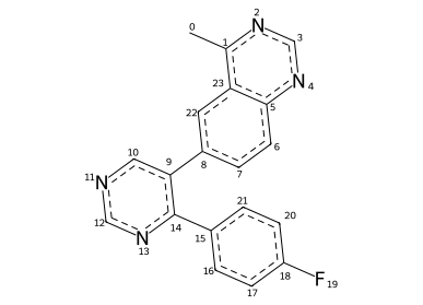 Cc1ncnc2ccc(-c3cncnc3-c3ccc(F)cc3)cc12